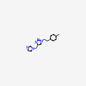 Cc1ccc(CCn2cc(Cn3ccnc3)nn2)cc1